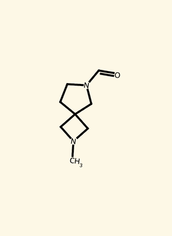 CN1CC2(CCN(C=O)C2)C1